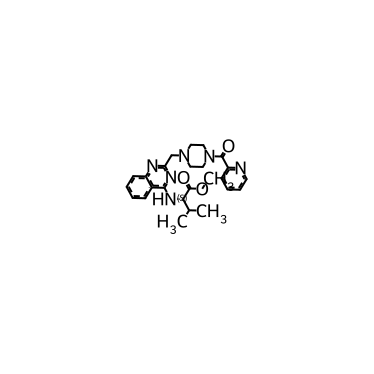 COC(=O)[C@@H](Nc1nc(CN2CCN(C(=O)c3ccccn3)CC2)nc2ccccc12)C(C)C